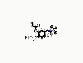 C=CC(=O)Oc1cc(/C=C(\C#N)S(C)(=O)=O)ccc1C(=O)OCC